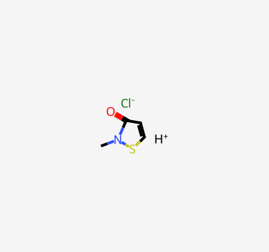 Cn1sccc1=O.[Cl-].[H+]